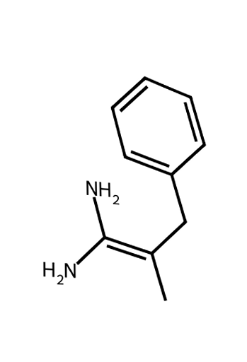 CC(Cc1ccccc1)=C(N)N